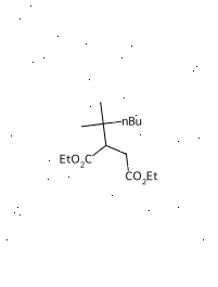 CCCCC(C)(C)C(CC(=O)OCC)C(=O)OCC